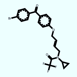 O=C(c1ccc(Br)cc1)c1ccc(OCC=CCN(C(=O)C(F)(F)F)C2CC2)cc1